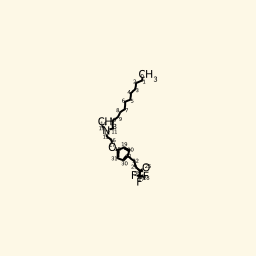 CCCCCCCCCCCCN(CC)CCOc1ccc(CCC(=O)C(F)(F)F)cc1